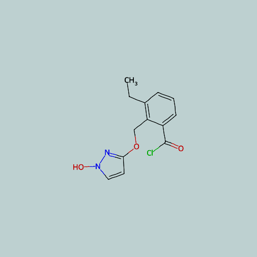 CCc1cccc(C(=O)Cl)c1COc1ccn(O)n1